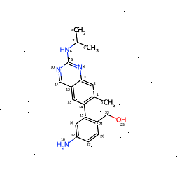 Cc1cc2nc(NC(C)C)ncc2cc1-c1cc(N)ccc1CO